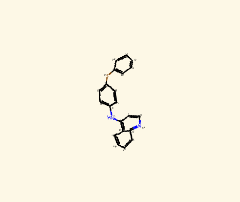 [c]1cc(Nc2ccc(Sc3ccccc3)cc2)c2ccccc2n1